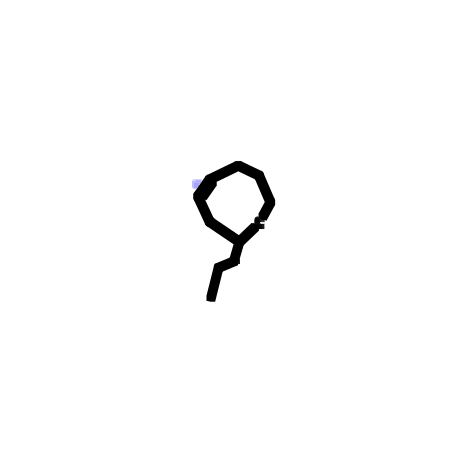 CC[CH]C1C/C=C\CCCC1